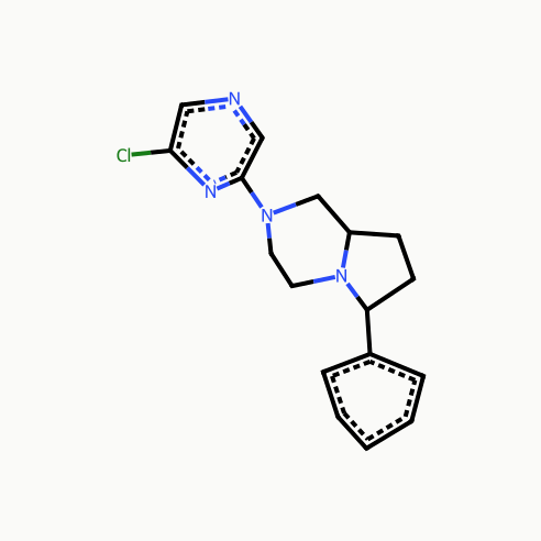 Clc1cncc(N2CCN3C(CCC3c3ccccc3)C2)n1